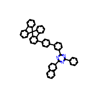 c1ccc(-c2nc(-c3cccc(-c4ccc(-c5cccc6c5-c5ccccc5C65c6ccccc6-c6ccccc65)cc4)c3)nc(-c3ccc4ccccc4c3)n2)cc1